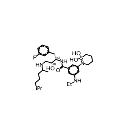 CCNc1cc(C(=O)N[C@@H](Cc2cccc(F)c2)[C@H](O)CNC(C)CCCC(C)C)cc(N2CCCCS2(O)O)c1